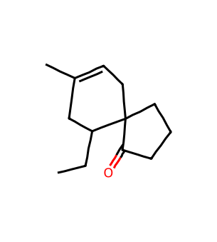 CCC1CC(C)=CCC12CCCC2=O